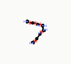 CC1(C)CC(OC(=O)c2ccc(C#Cc3ccc(C(=O)OC4CC(C)(C)NC(C)(CCC5(C)CC(OC(=O)c6ccc(OC(=O)c7ccc(C(=O)OC8CC(C)(C)NC(C)(C)C8)cc7)cn6)CC(C)(C)N5)C4)nc3)cc2)CC(C)(C)N1